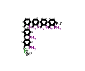 Cc1ccccc1P.Cc1ccccc1P.Cc1ccccc1P.Cc1ccccc1P.Cc1ccccc1P.Cc1ccccc1P.[Cl-].[Cl-].[Pd+].[Pd+]